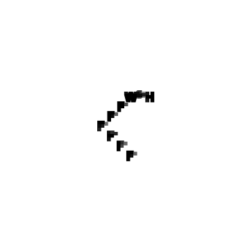 [F-].[F-].[F-].[F-].[F-].[F-].[WH+6]